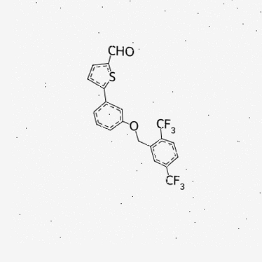 O=Cc1ccc(-c2cccc(OCc3cc(C(F)(F)F)ccc3C(F)(F)F)c2)s1